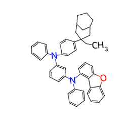 CCC1(c2ccc(N(c3ccccc3)c3cccc(N(c4ccccc4)c4cccc5oc6ccccc6c45)c3)cc2)CC2CCCC(C2)C1